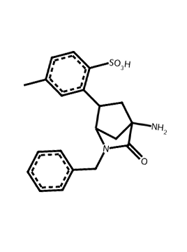 Cc1ccc(S(=O)(=O)O)c(C2CC3(N)CC2N(Cc2ccccc2)C3=O)c1